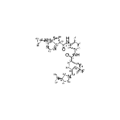 Cc1ccc(NC(=O)c2ccc(CN3CCC(N(C)C)C3)c(C(F)(F)F)c2)cc1NC(=O)c1csc2c(NC3CC3)ncnc12